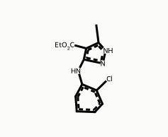 CCOC(=O)c1c(Nc2ccccc2Cl)n[nH]c1C